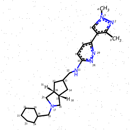 Cc1nn(C)cc1-c1ccc(NCC2C[C@@H]3CN(CC4CCCCC4)C[C@@H]3C2)nn1